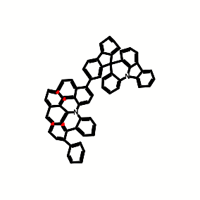 c1ccc(-c2ccccc2-c2ccccc2N(c2cccc3ccccc23)c2ccc(-c3ccc4c(c3)C3(c5ccccc5-4)c4ccccc4-n4c5ccccc5c5cccc3c54)c3ccccc23)cc1